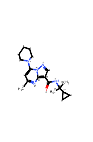 Cc1cc(N2CCCCC2)n2ncc(C(=O)NC(C)(C)C3CC3)c2n1